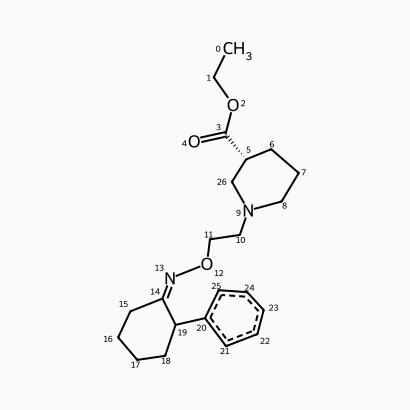 CCOC(=O)[C@@H]1CCCN(CCON=C2CCCCC2c2ccccc2)C1